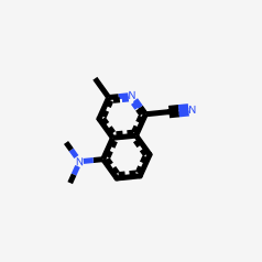 Cc1cc2c(N(C)C)cccc2c(C#N)n1